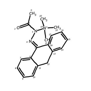 CC(=O)N(N=C1c2ccccc2Cc2ccccc21)[N+](C)(C)C